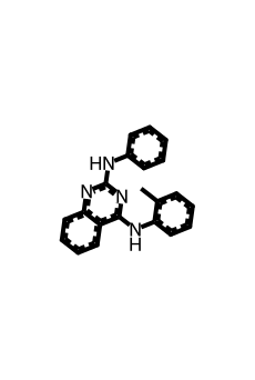 Cc1ccccc1Nc1nc(Nc2ccccc2)nc2ccccc12